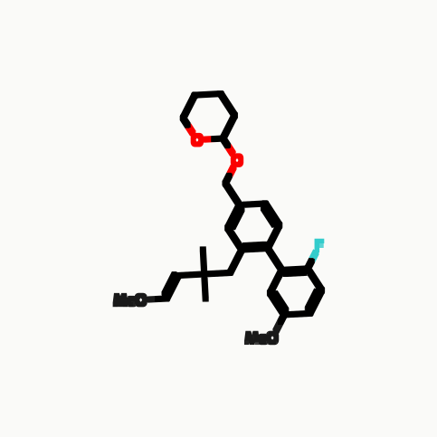 CO/C=C/C(C)(C)Cc1cc(COC2CCCCO2)ccc1-c1cc(OC)ccc1F